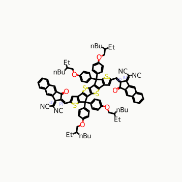 [C-]#[N+]/C(C#N)=C1\C(=C\c2cc3c(s2)C(c2ccc(OCC(CC)CCCC)cc2)(c2ccc(OCC(CC)CCCC)cc2)c2c-3sc3c4c(sc23)-c2cc(/C=C3\C(=O)c5cc6ccccc6cc5\C3=C(\C#N)[N+]#[C-])sc2C4(c2ccc(OCC(CC)CCCC)cc2)c2ccc(OCC(CC)CCCC)cc2)C(=O)c2cc3ccccc3cc21